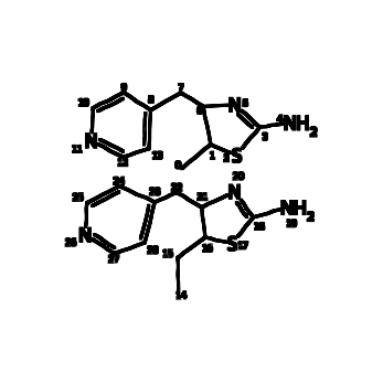 CC1SC(N)=NC1Cc1ccncc1.CCC1SC(N)=NC1Cc1ccncc1